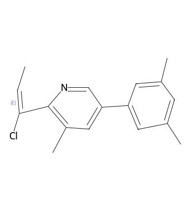 C/C=C(/Cl)c1ncc(-c2cc(C)cc(C)c2)cc1C